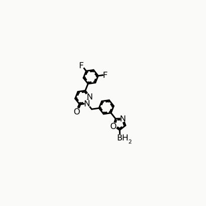 Bc1cnc(-c2cccc(Cn3nc(-c4cc(F)cc(F)c4)ccc3=O)c2)o1